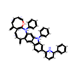 C=C1/C=C\C=C/O/C2=C1/C=C\C(=C)c1cc3c4ccc(C5=CC=CC(c6ccccc6)N5)cc4n(-c4ccccc4)c3cc1N2c1ccccc1